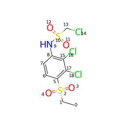 CCS(=O)(=O)c1ccc(NS(=O)(=O)CCl)c(Cl)c1Cl